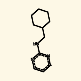 [c]1ccnc(NCC2CCCCC2)n1